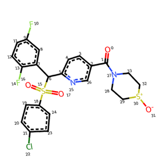 O=C(c1ccc(C(c2cc(F)ccc2F)S(=O)(=O)c2ccc(Cl)cc2)nc1)N1CC[S+]([O-])CC1